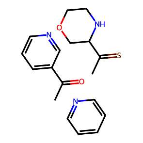 CC(=O)c1cccnc1.CC(=S)C1COCCN1.c1ccncc1